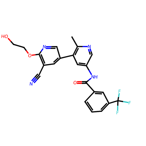 Cc1ncc(NC(=O)c2cccc(C(F)(F)F)c2)cc1-c1cnc(OCCO)c(C#N)c1